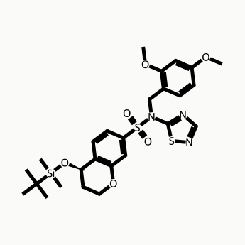 COc1ccc(CN(c2ncns2)S(=O)(=O)c2ccc3c(c2)OCC[C@H]3O[Si](C)(C)C(C)(C)C)c(OC)c1